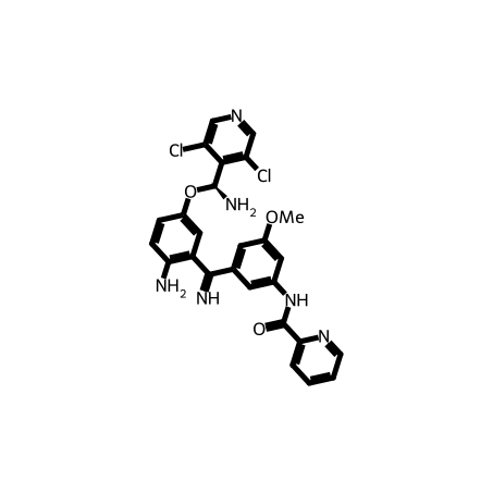 COc1cc(NC(=O)c2ccccn2)cc(C(=N)c2cc(O[C@H](N)c3c(Cl)cncc3Cl)ccc2N)c1